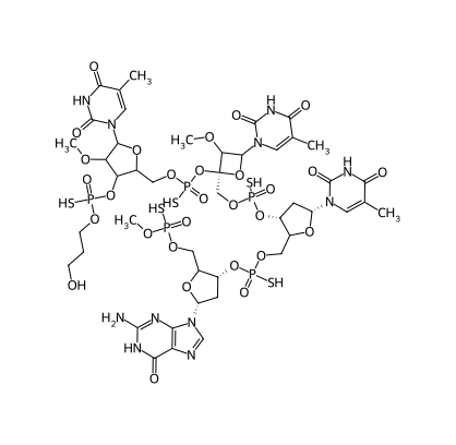 COC1C(OP(=O)(S)OCCCO)C(COP(=O)(S)O[C@]2(COP(=O)(S)O[C@@H]3C[C@H](n4cc(C)c(=O)[nH]c4=O)OC3COP(=O)(S)O[C@@H]3C[C@H](n4cnc5c(=O)[nH]c(N)nc54)OC3COP(=O)(S)OC)OC(n3cc(C)c(=O)[nH]c3=O)C2OC)OC1n1cc(C)c(=O)[nH]c1=O